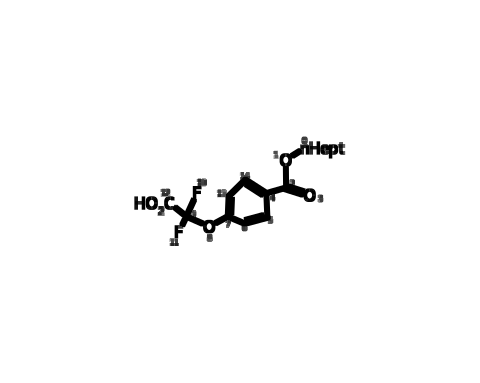 CCCCCCCOC(=O)c1ccc(OC(F)(F)C(=O)O)cc1